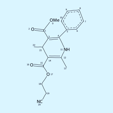 COC(=O)C1=C(c2ccccc2)NC(C)=C(C(=O)OCCC#N)C1C